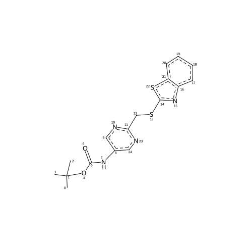 CC(C)(C)OC(=O)Nc1cnc(CSc2nc3ccccc3s2)nc1